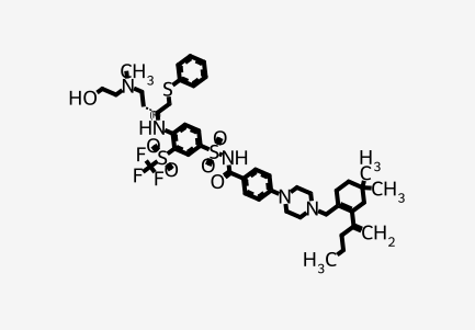 C=C(CCC)C1=C(CN2CCN(c3ccc(C(=O)NS(=O)(=O)c4ccc(N[C@H](CCN(C)CCO)CSc5ccccc5)c(S(=O)(=O)C(F)(F)F)c4)cc3)CC2)CCC(C)(C)C1